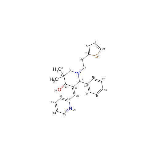 CC1(C)CN(CCc2cccs2)C(c2ccccc2)C(=Cc2ccccn2)C1=O